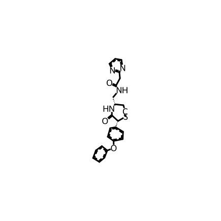 O=C(Cc1ncccn1)NC[C@@H]1CCS[C@H](c2ccc(Oc3ccccc3)cc2)C(=O)N1